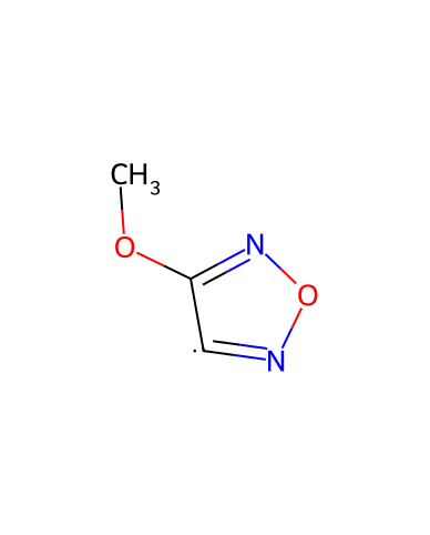 COc1[c]non1